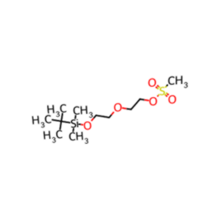 CC(C)(C)[Si](C)(C)OCCOCCOS(C)(=O)=O